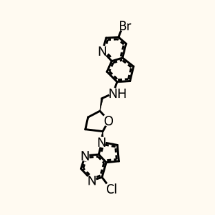 Clc1ncnc2c1ccn2[C@H]1CC[C@@H](CNc2ccc3cc(Br)cnc3c2)O1